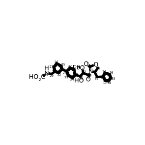 CCOC(C(=O)N1C(=O)OCC1Cc1ccccc1)C(O)c1ccc(-c2cccc(CNC(=O)O)c2)cc1